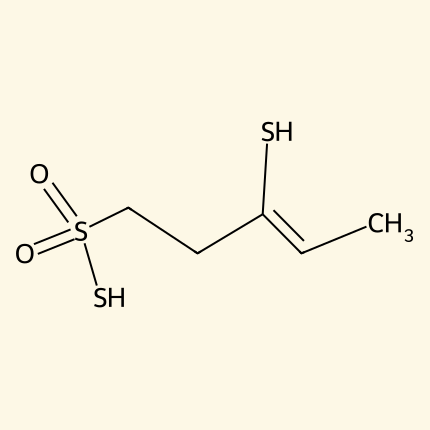 CC=C(S)CCS(=O)(=O)S